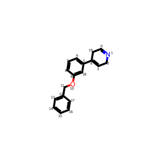 C1=NCC=C(c2cccc(OCc3ccccc3)c2)C1